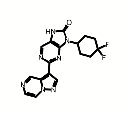 O=c1[nH]c2cnc(-c3cnn4ccncc34)nc2n1C1CCC(F)(F)CC1